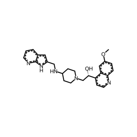 COc1ccc2nccc([C@@H](O)CN3CCC(NCc4cc5cccnc5[nH]4)CC3)c2c1